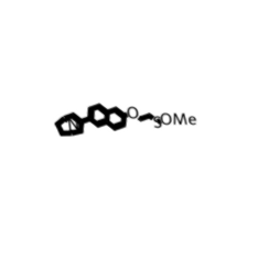 COSCCOc1ccc2cc(C3=CC4CCC(C3)N4C)ccc2c1